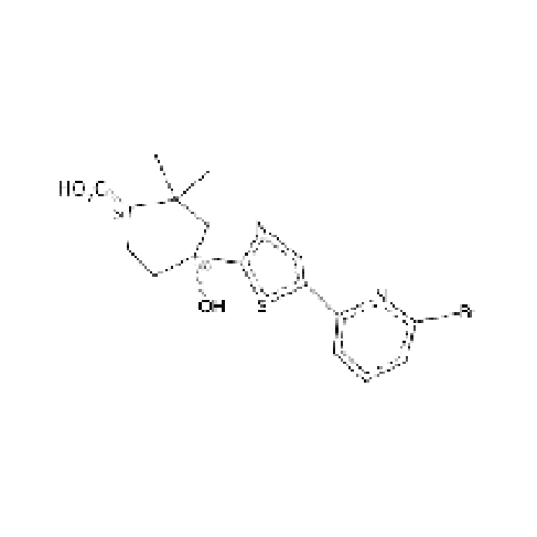 CC1(C)C[C@@](O)(c2ncc(-c3cccc(Br)n3)s2)CC[C@@H]1C(=O)O